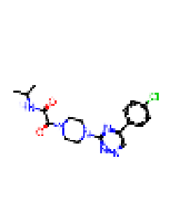 CC(C)NC(=O)C(=O)N1CCN(c2nncc(-c3ccc(Cl)cc3)n2)CC1